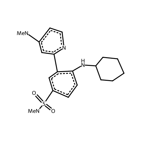 CNc1ccnc(-c2cc(S(=O)(=O)NC)ccc2NC2CCCCC2)c1